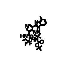 Cc1cccc2[nH]c(-c3cncc(C(=O)NC(C)C(F)(F)F)c3N3CC[C@](C)(NC(=O)OC(C)(C)C)C3)nc12